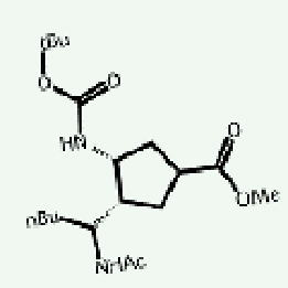 CCCCC(NC(C)=O)[C@H]1CC(C(=O)OC)C[C@H]1NC(=O)OC(C)(C)C